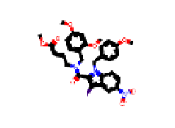 COC(=O)/C=C/CN(Cc1ccc(OC)cc1OC)C(=O)c1c(I)c2cc([N+](=O)[O-])ccc2n1Cc1ccc(OC)cc1